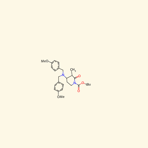 COc1ccc(CN(Cc2ccc(OC)cc2)C2CCN(C(=O)OC(C)(C)C)C(=O)C2C)cc1